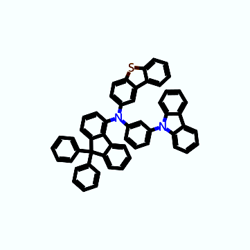 c1ccc(C2(c3ccccc3)c3ccccc3-c3c(N(c4cccc(-n5c6ccccc6c6ccccc65)c4)c4ccc5sc6ccccc6c5c4)cccc32)cc1